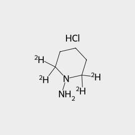 Cl.[2H]C1([2H])CCCC([2H])([2H])N1N